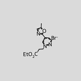 CCOC(=O)CC[n+]1cc(-c2ncc(C)o2)ccn1.[Br-]